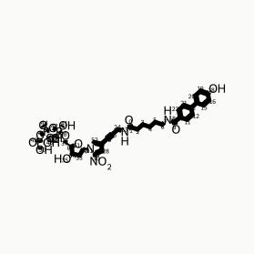 O=C(CCCCCNC(=O)c1ccc(-c2ccc(O)cc2)cc1)NCC#Cc1cc([N+](=O)[O-])n([C@H]2C[C@@H](O)[C@@H](COP(=O)(O)OP(=O)(O)OP(=O)(O)O)O2)c1